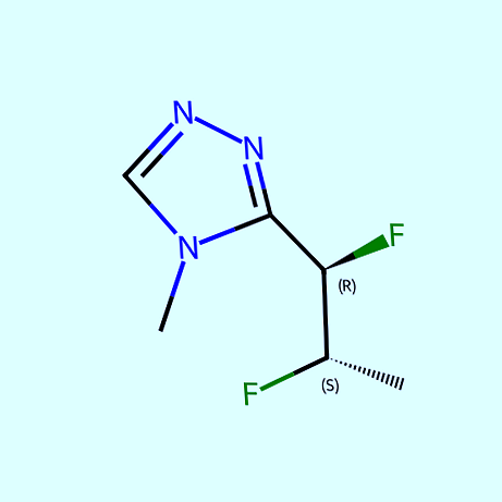 C[C@H](F)[C@H](F)c1nncn1C